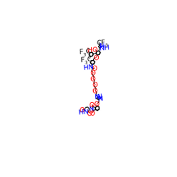 O=C1CCC(N2C(=O)c3cccc(OCc4cn(CCOCCOCCOCCOCC(=O)Nc5ccc(COc6ccc(-c7cc(C(F)(F)F)n[nH]7)c(O)c6-c6cc(C(F)(F)F)cc(C(F)(F)F)c6)cc5)nn4)c3C2=O)C(=O)N1